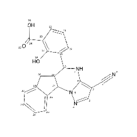 N#Cc1cnn2c1NC(c1cccc(C(=O)O)c1O)C1Cc3ccccc3C12